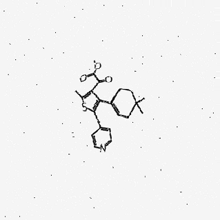 COC(=O)C(=O)c1c(C)sc(-c2ccncc2)c1C1=CCC(C)(C)CC1